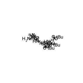 CC(C)(C)OC(=O)CC[C@H](NC(=O)N[C@@H](CCCCNC(=O)Cn1nnc(I)c1CN)C(=O)OC(C)(C)C)C(=O)OC(C)(C)C